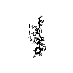 CCc1cc([C@H]2O[C@@H](n3cnc4c(Nc5ccc(F)cc5Cl)nc(OC)nc43)[C@H](O)[C@@H]2O)on1